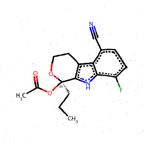 CCC[C@]1(OC(C)=O)OCCc2c1[nH]c1c(F)ccc(C#N)c21